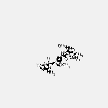 CN(C)C(=O)c1c(NC=O)nc(C(=O)Nc2ccc3c(c2)N(C)CCN3CCNc2nc(N)c3nc[nH]c3n2)n1C